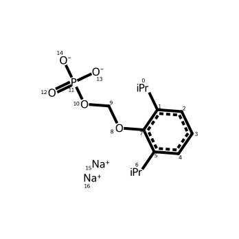 CC(C)c1cccc(C(C)C)c1OCOP(=O)([O-])[O-].[Na+].[Na+]